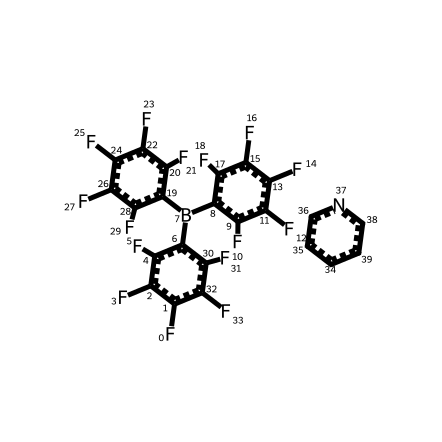 Fc1c(F)c(F)c(B(c2c(F)c(F)c(F)c(F)c2F)c2c(F)c(F)c(F)c(F)c2F)c(F)c1F.c1ccncc1